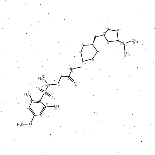 COc1cc(C)c(S(=O)(=O)N(C)CCC(=O)NC[C@H]2CC[C@H](CN3CCC(N(C)C)C3)CC2)c(C)c1